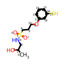 CC(O)CNS(=O)(=O)CCCOc1cccc(S)c1